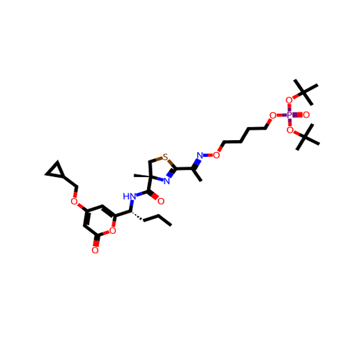 CCC[C@@H](NC(=O)[C@]1(C)CSC(/C(C)=N/OCCCCOP(=O)(OC(C)(C)C)OC(C)(C)C)=N1)c1cc(OCC2CC2)cc(=O)o1